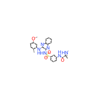 CN[C@@H](C)C(=O)Nc1cccc(S(=O)(=O)Nc2nc3ccccc3nc2Nc2cc(OC)ccc2C)c1